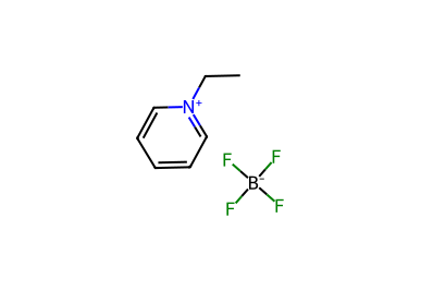 CC[n+]1ccccc1.F[B-](F)(F)F